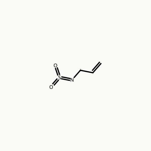 C=C[CH]N=S(=O)=O